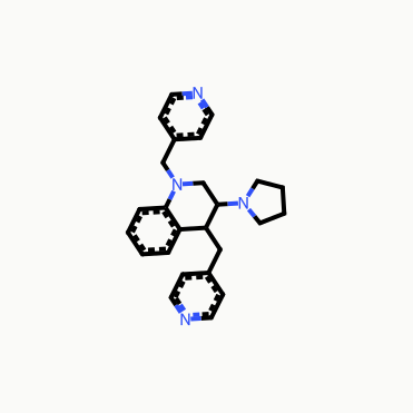 c1ccc2c(c1)C(Cc1ccncc1)C(N1CCCC1)CN2Cc1ccncc1